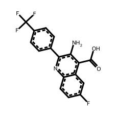 Nc1c(-c2ccc(C(F)(F)F)cc2)nc2ccc(F)cc2c1C(=O)O